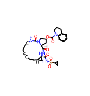 O=C1N[C@]2(C(=O)NS(=O)(=O)C3CC3)C[C@H]2/C=C\CCCCCNC(=O)N2C[C@H](OC(=O)N3CCCc4ccccc43)C[C@@H]12